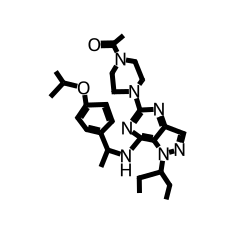 CCC(CC)n1ncc2nc(N3CCN(C(C)=O)CC3)nc(NC(C)c3ccc(OC(C)C)cc3)c21